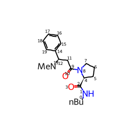 CCCCNC(=O)[C@@H]1CCCN1C(=O)C[C@@H](NC)c1ccccc1